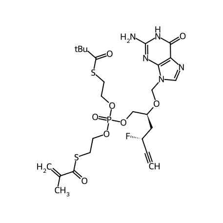 C#C[C@H](F)C[C@@H](COP(=O)(OCCSC(=O)C(=C)C)OCCSC(=O)C(C)(C)C)OCn1cnc2c(=O)[nH]c(N)nc21